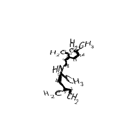 C=CC(=C)/C=C(\C)NC/C=C(C=C)\C=C/C(=C)C